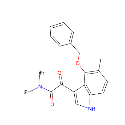 Cc1ccc2[nH]cc(C(=O)C(=O)N(C(C)C)C(C)C)c2c1OCc1ccccc1